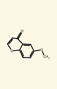 COc1ccc2occc(=O)c2c1